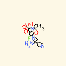 C[C@H]1COc2c(N3CCC(CN)(c4ccncc4)C3)c(F)cc3c(=O)c(C(=O)O)cn1c23